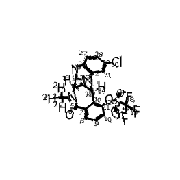 [2H]C([2H])([2H])N1C(=O)c2cccc(OS(=O)(=O)C(F)(F)F)c2[C@H]2C[C@@H]1c1nc3ccc(Cl)cc3n12